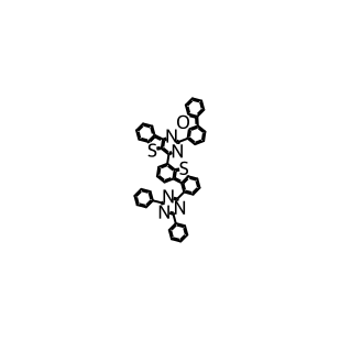 c1ccc(-c2nc(-c3ccccc3)nc(-c3cccc4sc5c(-c6nc(-c7cccc8c7oc7ccccc78)nc7c6sc6ccccc67)cccc5c34)n2)cc1